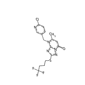 Cc1cc(=O)n2nc(SCCCC(F)(F)F)nc2n1Cc1ccc(Cl)nc1